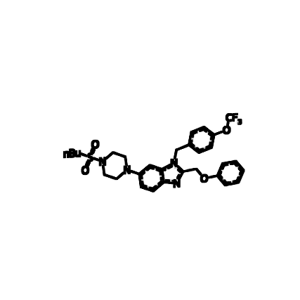 CCCCS(=O)(=O)N1CCN(c2ccc3nc(COc4ccccc4)n(Cc4ccc(OC(F)(F)F)cc4)c3c2)CC1